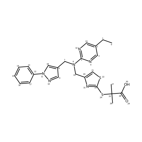 CCc1cnc(N(Cc2cnn(-c3ccccc3)c2)Cc2csc(SC(C)(C)C(=O)O)n2)nc1